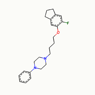 Fc1cc2c(cc1OCCCCN1CCN(c3ccccc3)CC1)CCC2